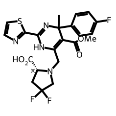 COC(=O)C1=C(CN2CC(F)(F)C[C@@H]2C(=O)O)NC(c2nccs2)=NC1(C)c1ccc(F)cc1